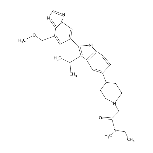 CCN(C)C(=O)CN1CCC(c2ccc3[nH]c(-c4cc(COC)c5ncnn5c4)c(C(C)C)c3c2)CC1